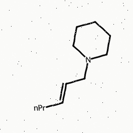 CCCC=CCN1CCCCC1